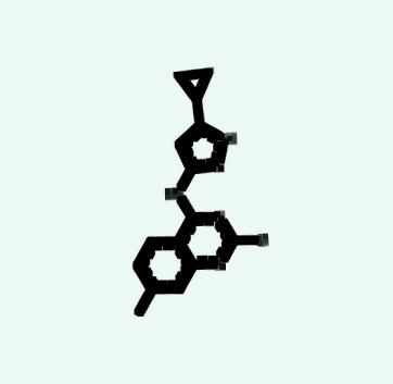 Cc1ccc2c(Nc3cc(C4CC4)[nH]n3)nc(Cl)nc2c1